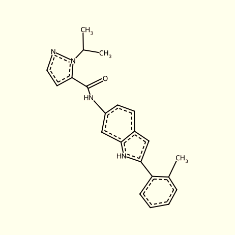 Cc1ccccc1-c1cc2ccc(NC(=O)c3ccnn3C(C)C)cc2[nH]1